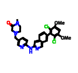 COc1cc(OC)c(Cl)c(-c2ccc3cc(Nc4ccc(CN5CCN(C)C(=O)C5)cn4)ncc3c2)c1Cl